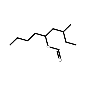 CCCCC(CC(C)CC)O[C]=O